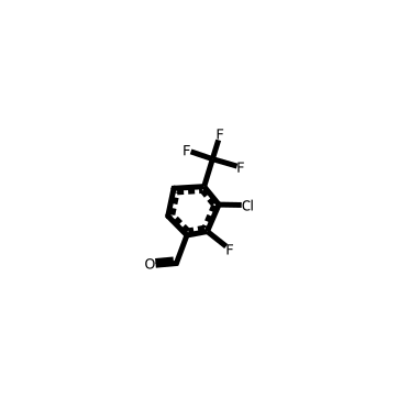 O=Cc1ccc(C(F)(F)F)c(Cl)c1F